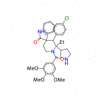 CCC1(C2CCNC2)C(c2ccc(Cl)cc2)C(C(N)=O)(c2ccccc2)CCN1C(=O)c1cc(OC)c(OC)c(OC)c1